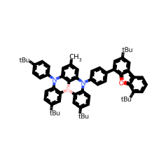 Cc1cc2c3c(c1)N(c1ccc(C(C)(C)C)cc1)c1ccc(C(C)(C)C)cc1B3c1cc(C(C)(C)C)ccc1N2c1ccc(-c2cc(C(C)(C)C)cc3c2oc2c(C(C)(C)C)cccc23)cc1